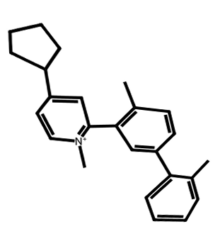 Cc1ccccc1-c1ccc(C)c(-c2cc(C3CCCC3)cc[n+]2C)c1